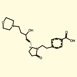 O=C(O)c1ccc(CCN2C(=O)CC[C@@H]2C=CC(O)CCN2CCOCC2)cc1